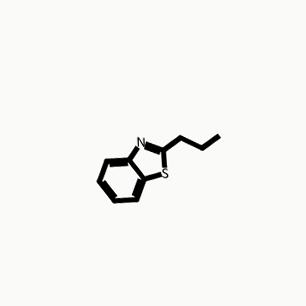 CCCc1nc2ccccc2s1